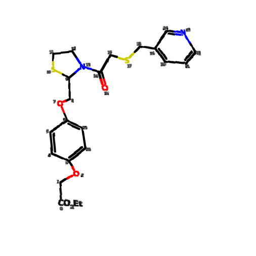 CCOC(=O)COc1ccc(OCC2SCCN2C(=O)CSCc2cccnc2)cc1